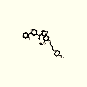 CCN1CCN(CCCOc2cc3ncnc(Nc4ccnc(-c5ccccc5F)c4)c3cc2NC)CC1